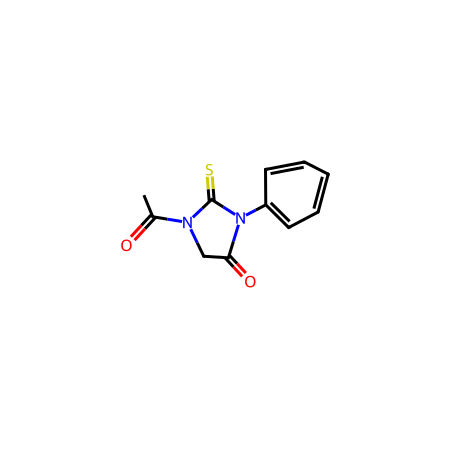 CC(=O)N1CC(=O)N(c2ccccc2)C1=S